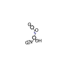 COc1ccc(C(=O)/C=C/c2ccc(CN3CCOCC3)c(O)c2)cc1